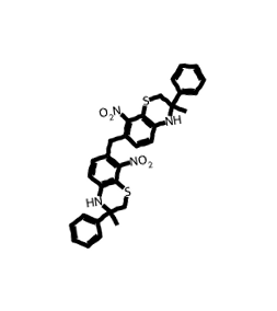 CC1(c2ccccc2)CSc2c(ccc(Cc3ccc4c(c3[N+](=O)[O-])SCC(C)(c3ccccc3)N4)c2[N+](=O)[O-])N1